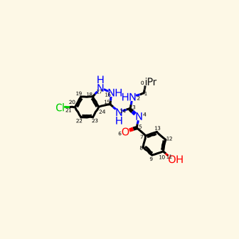 CC(C)CN/C(=N/C(=O)c1ccc(O)cc1)NC1NNc2cc(Cl)ccc21